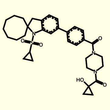 O=C(c1ccc(-c2ccc3c(c2)N(S(=O)(=O)C2CC2)C2(CCCCCCC2)C3)cc1)N1CCN(C(=O)C2(O)CC2)CC1